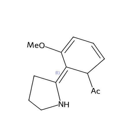 COC1=CC=CC(C(C)=O)/C1=C1/CCCN1